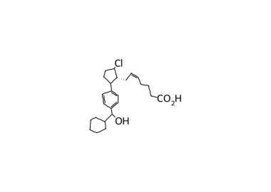 O=C(O)CCC/C=C\C[C@H]1C(Cl)CCC1c1ccc(C(O)C2CCCCC2)cc1